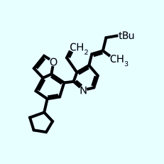 C=Cc1c(/C=C(\C)CC(C)(C)C)ccnc1-c1cc(C2CCCC2)cc2ccoc12